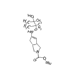 CC(C)(C)OC(=O)N1CC2C=C(BOC(C)(C)C(C)(C)O)CC2C1